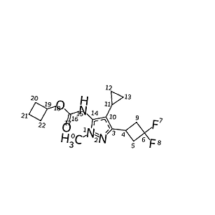 Cn1nc(C2CC(F)(F)C2)c(C2CC2)c1NC(=O)OC1CCC1